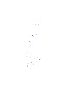 CC(=O)NS(=O)(=O)c1ccccc1-c1ccc(CNC(=O)CNC(=O)[C@@H](CS)Cc2cccc(Cl)c2)cc1Cl